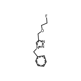 FCCOCc1cn(Cc2ccccc2)nn1